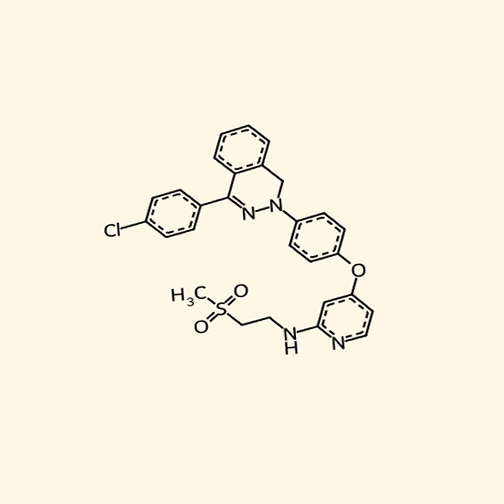 CS(=O)(=O)CCNc1cc(Oc2ccc(N3Cc4ccccc4C(c4ccc(Cl)cc4)=N3)cc2)ccn1